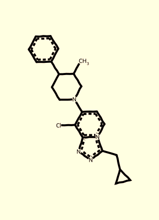 CC1CN(c2ccn3c(CC4CC4)nnc3c2Cl)CCC1c1ccccc1